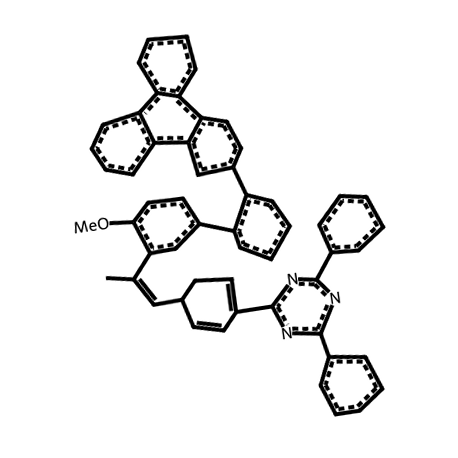 COc1ccc(-c2ccccc2-c2ccc3c4ccccc4c4ccccc4c3c2)cc1/C(C)=C\C1C=CC(c2nc(-c3ccccc3)nc(-c3ccccc3)n2)=CC1